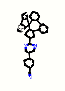 N#Cc1ccc(-c2cnc(-c3ccc4c(c3)-c3ccccc3-c3ccccc3C43c4ccccc4-c4ccccc43)nc2)cc1